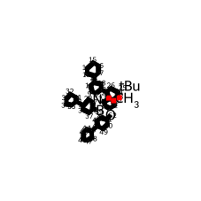 Cc1cc2c3c(c1)N(c1ccc(-c4ccccc4)cc1-c1cccc(C(C)(C)C)c1)c1cc(-c4ccccc4)ccc1B3c1cc(-c3ccccc3)ccc1O2